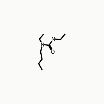 CCCCN(CC)C(=O)[N]CC